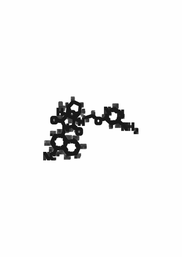 C[C@]12CC[C@](CCOc3cc(N)ncn3)(O1)[C@@H]1C(=O)N(c3ccc(C#N)c4ccccc34)C(=O)[C@@H]12